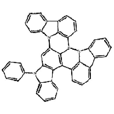 c1ccc(-n2c3ccccc3c3c4c5c(cc32)-n2c3ccccc3c3cccc(c32)B5n2c3ccccc3c3cccc-4c32)cc1